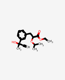 C#CC(C)(O)c1cccc(CC(OC(C)C)C(=O)OCC)c1